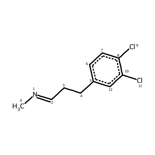 C/N=C/CCc1ccc(Cl)c(Cl)c1